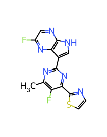 Cc1nc(-c2c[nH]c3ncc(F)nc23)nc(-c2nccs2)c1F